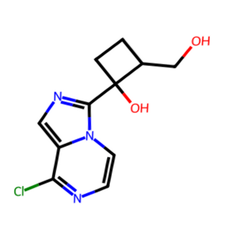 OCC1CCC1(O)c1ncc2c(Cl)nccn12